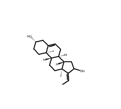 C/C=C1/C(O)C[C@H]2[C@@H]3CC=C4C[C@@H](O)CC[C@]4(C)[C@H]3CC[C@]12C